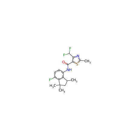 Cc1nc(C(F)F)c(C(=O)Nc2ccc(F)c3c2C(C)CC3(C)C)s1